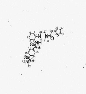 C[C@@H]1CN(c2ccccc2NS(=O)(=O)c2ccc(S(=O)(=O)N(C)C)cc2)CCN1C(=O)Cc1cccs1